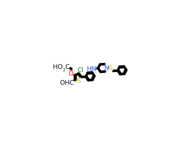 O=Cc1sc(-c2cccc(NC3CCN(SCc4ccccc4)CC3)c2)c(Cl)c1OCC(=O)O